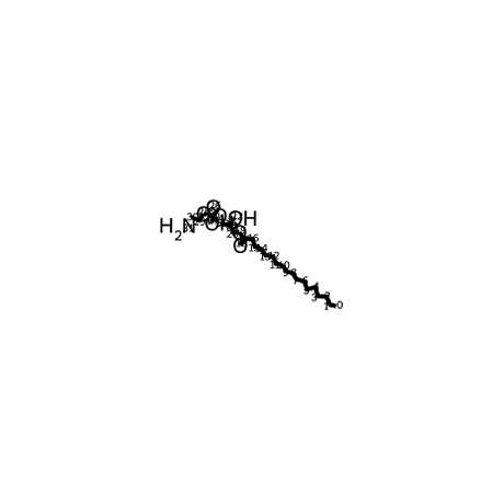 CCCCCCCCCCCCCCCCCC(=O)OC[C@H](O)COP(=O)(O)OCCN